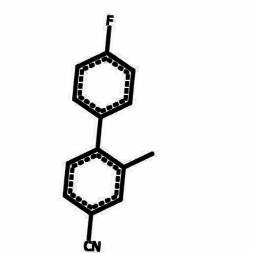 Cc1cc(C#N)ccc1-c1ccc(F)cc1